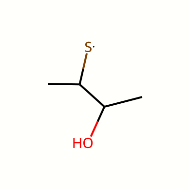 CC(O)C(C)[S]